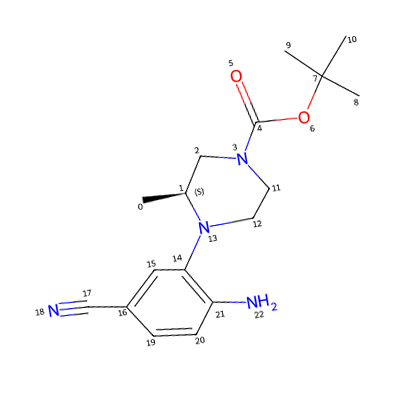 C[C@H]1CN(C(=O)OC(C)(C)C)CCN1c1cc(C#N)ccc1N